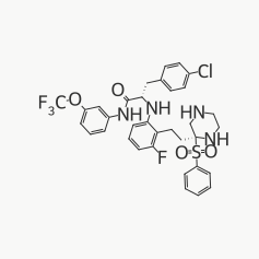 O=C(Nc1cccc(OC(F)(F)F)c1)[C@H](Cc1ccc(Cl)cc1)Nc1cccc(F)c1CC[C@]1(S(=O)(=O)c2ccccc2)CNCCN1